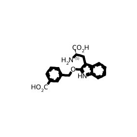 N[C@@H](Cc1c(OCc2cccc(C(=O)O)c2)[nH]c2ccccc12)C(=O)O